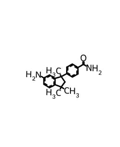 CC1(C)CC(C)(c2ccc(C(N)=O)cc2)c2cc(N)ccc21